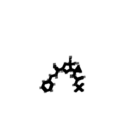 CC(C)(C)OC(=O)NC1(C2CN(C(=O)OCc3ccccc3)CC2(F)F)CC1